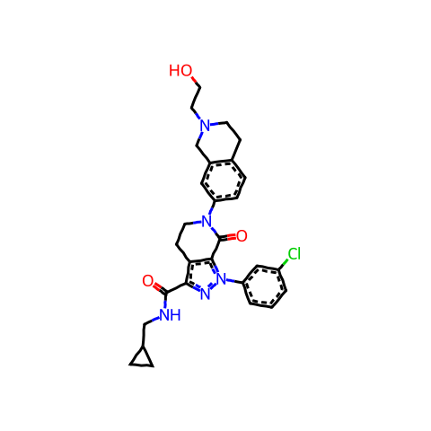 O=C(NCC1CC1)c1nn(-c2cccc(Cl)c2)c2c1CCN(c1ccc3c(c1)CN(CCO)CC3)C2=O